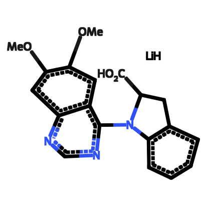 COc1cc2ncnc(N3c4ccccc4CC3C(=O)O)c2cc1OC.[LiH]